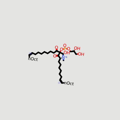 CCCCCCCC/C=C\CCCCCCCC(=O)C(C[N+](C)(C)C)(OP(=O)(O)OC[C@H](O)CO)C(=O)CCCCCCC/C=C\CCCCCCCC